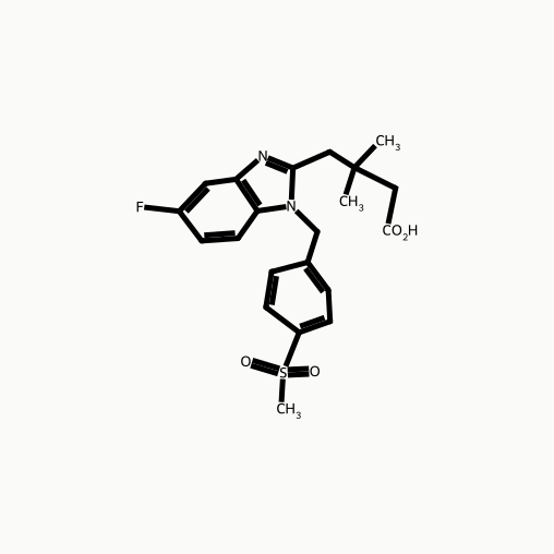 CC(C)(CC(=O)O)Cc1nc2cc(F)ccc2n1Cc1ccc(S(C)(=O)=O)cc1